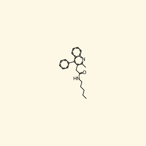 CCCCCNC(=O)Cc1c(C)nc2ccccc2c1-c1ccccc1